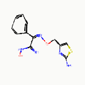 N=C(NO)C(=NOCc1csc(N)n1)c1ccccc1